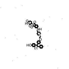 CC/C(=C(\c1ccc(O)cc1)c1ccc(OCCN2CCC(CNc3ccc4c(c3)C(=O)N(C3CCC(=O)NC3=O)C4=O)CC2)cc1)c1ccccc1